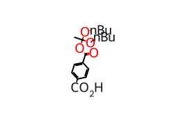 CCCCOC(C)(OCCCC)OC(=O)c1ccc(C(=O)O)cc1